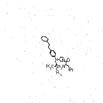 CC(C)=CCN(c1ccc(CCC2CCCCC2)cc1)C1CCN(C(=O)C(N)CC(C)C)C1